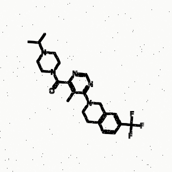 Cc1c(C(=O)N2CCN(C(C)C)CC2)ncnc1N1CCc2ccc(C(F)(F)F)cc2C1